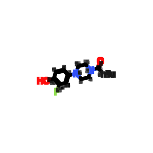 CCCCC(=O)N1CCN(c2ccc(O)c(F)c2)CC1